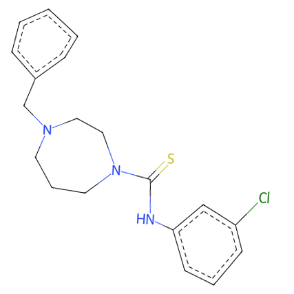 S=C(Nc1cccc(Cl)c1)N1CCCN(Cc2ccccc2)CC1